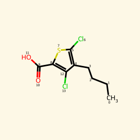 CCCCc1c(Cl)sc(C(=O)O)c1Cl